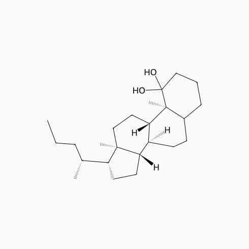 CCC[C@@H](C)[C@H]1CC[C@H]2[C@@H]3CCC4CCCC(O)(O)[C@]4(C)[C@H]3CC[C@]12C